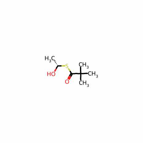 C[C@@H](O)SC(=O)C(C)(C)C